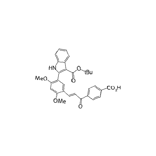 COc1cc(OC)c(-c2[nH]c3ccccc3c2C(=O)OC(C)(C)C)cc1C=CC(=O)c1ccc(C(=O)O)cc1